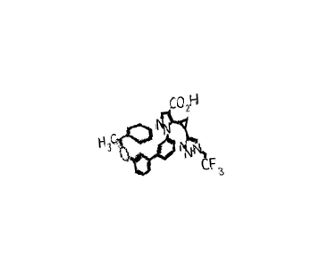 C[C@H](Oc1cccc(-c2cccc(-n3ncc(C(=O)O)c3C3CC3c3cn(CC(F)(F)F)nn3)c2)c1)C1CCCCC1